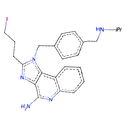 CC(C)NCc1ccc(Cn2c(CCCI)nc3c(N)nc4ccccc4c32)cc1